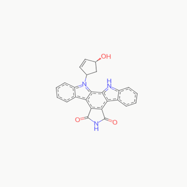 O=C1NC(=O)c2c1c1c3ccccc3[nH]c1c1c2c2ccccc2n1C1C=C[C@@H](O)C1